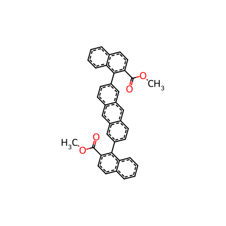 COC(=O)c1ccc2ccccc2c1-c1ccc2cc3cc(-c4c(C(=O)OC)ccc5ccccc45)ccc3cc2c1